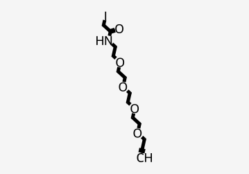 C#CCOCCOCCOCCOCCNC(=O)CI